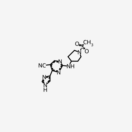 CS(=O)(=O)N1CCC(Nc2ncc(C#N)c(-c3c[nH]cn3)n2)CC1